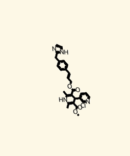 COC(=O)C1=C(C)NC(C)=C(C(=O)OCC=Cc2ccc(Cc3ncc[nH]3)cc2)C1c1cccnc1Cl